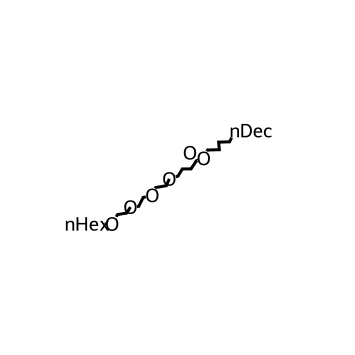 CCCCCCCCCCCCCCOC(=O)CCCOCCOCCOCCOCCCCCC